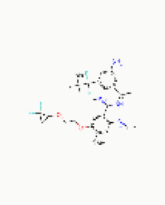 C/C=N/c1cc(OC)c(OCCOC2CC2(F)F)cc1/C(=N\C)N[C@H](C)c1cc(N)cc(C(F)(F)C(C)(C)CCC)c1